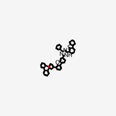 c1ccc(C2=NC(c3ccc4c(c3)oc3c(-c5ccc6c7ccccc7c7ccccc7c6c5)cccc34)NC(c3cccc4c3sc3ccccc34)=N2)cc1